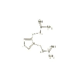 N=C(N)SCc1cscc1CSC(=N)N